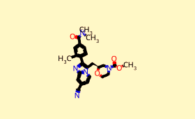 COC(=O)N1CCO[C@@H](Cc2c(-c3ccc(C(=O)N(C)C)cc3C)nc3cc(C#N)ccn23)C1